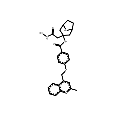 Cc1cc(COc2ccc(C(=O)NC3(CC(=O)NO)CC4CCC(C3)N4)cc2)c2ccccc2n1